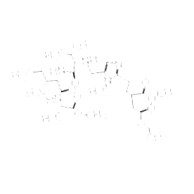 CCOC(=O)CC(CCc1ncc(CN[C@H](C(=O)N[C@H](C(=O)N[C@@H](C)C(=O)OC)[C@@H](C)CC)C(C)C)n1C)C(=O)OC